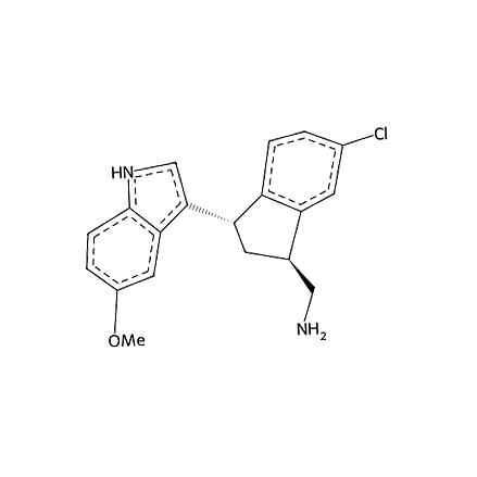 COc1ccc2[nH]cc([C@H]3C[C@H](CN)c4cc(Cl)ccc43)c2c1